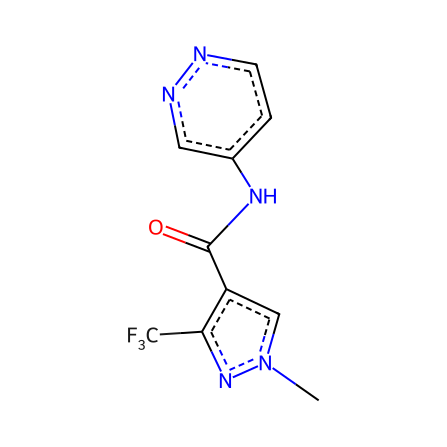 Cn1cc(C(=O)Nc2ccnnc2)c(C(F)(F)F)n1